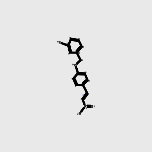 O=[N+]([O-])/C=C/c1ccc(OCc2cccc(F)c2)cc1